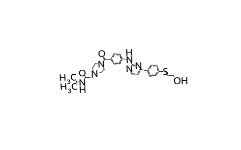 CC(C)NC(=O)CN1CCN(C(=O)c2ccc(Nc3nccc(-c4ccc(SCCO)cc4)n3)cc2)CC1